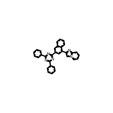 c1ccc(-c2nc(-c3ccccc3)nc(-c3cc(-c4cn5ccccc5n4)c4ccccc4c3)n2)cc1